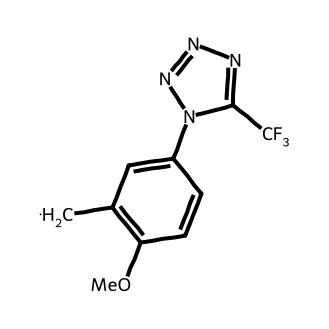 [CH2]c1cc(-n2nnnc2C(F)(F)F)ccc1OC